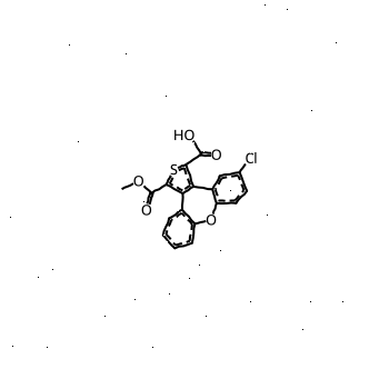 COC(=O)c1sc(C(=O)O)c2c1-c1ccccc1Oc1ccc(Cl)cc1-2